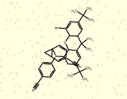 CC(C)(C)C1=CC2C(OC3C(=CC(C(C)(C)C)CC3N(c3ccc(C#N)cc3)C34C=CC(C#N)=CC3C4)C2(C)C)C(Br)=C1